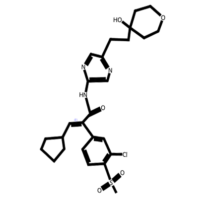 CS(=O)(=O)c1ccc(/C(=C\C2CCCC2)C(=O)Nc2cnc(CCC3(O)CCOCC3)cn2)cc1Cl